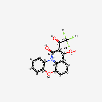 O=C(c1c(O)c2cccc3c2n(c1=O)-c1ccccc1O3)C(F)(F)F